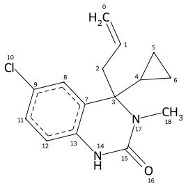 C=CCC1(C2CC2)c2cc(Cl)ccc2NC(=O)N1C